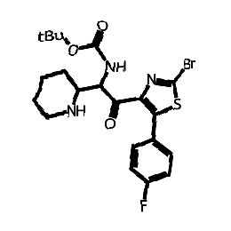 CC(C)(C)OC(=O)NC(C(=O)c1nc(Br)sc1-c1ccc(F)cc1)C1CCCCN1